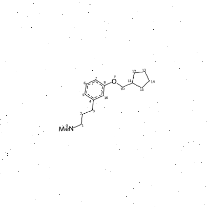 CNCCCc1cccc(OCC2CCCC2)c1